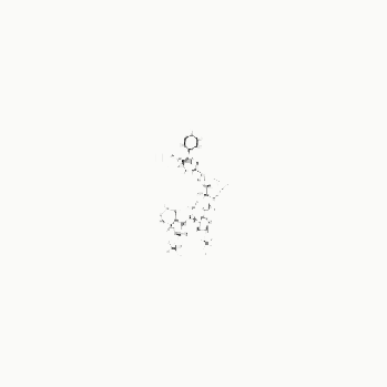 CCCC(NC(=O)[C@@H]1C[C@@H](OC(C)(C)C)CN1C(=O)[C@@H](NC(=O)OC(C)(C)C)C1CCCCC1)C(=O)C(=O)NCC(=O)N[C@H](C(N)=O)c1ccccc1